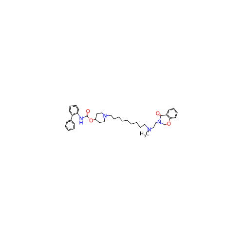 CN(CCCCCCCCCN1CCC(OC(=O)Nc2ccccc2-c2ccccc2)CC1)CCN1COc2ccccc2C1=O